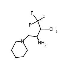 CC([C@@H](N)CN1CCCCC1)C(F)(F)F